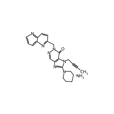 CC#CCn1c(N2CCC[C@@H](N)C2)nc2cnn(Cc3ccc4ncccc4n3)c(=O)c21